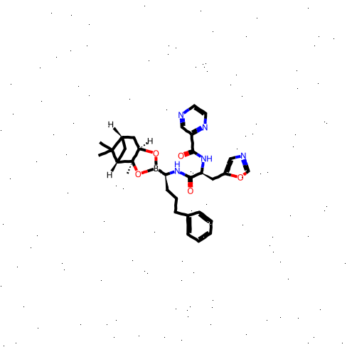 CC1(C)[C@@H]2C[C@H]3OB([C@H](CCCc4ccccc4)NC(=O)[C@H](Cc4cnco4)NC(=O)c4cnccn4)O[C@@]3(C)[C@H]1C2